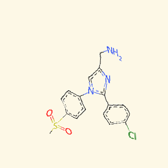 CS(=O)(=O)c1ccc(-n2cc(CN)nc2-c2ccc(Cl)cc2)cc1